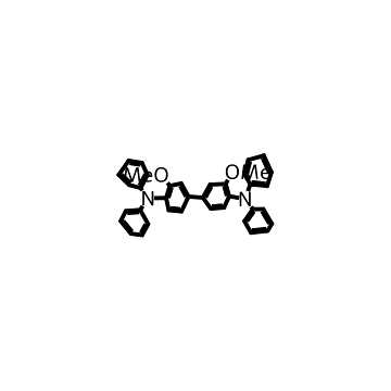 COc1cc(-c2ccc(N(c3ccccc3)c3ccccc3)c(OC)c2)ccc1N(c1ccccc1)c1ccccc1